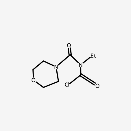 CCN(C(=O)Cl)C(=O)N1CCOCC1